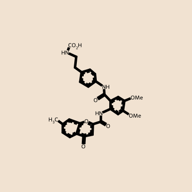 COc1cc(NC(=O)c2cc(=O)c3ccc(C)cc3o2)c(C(=O)Nc2ccc(CCNC(=O)O)cc2)cc1OC